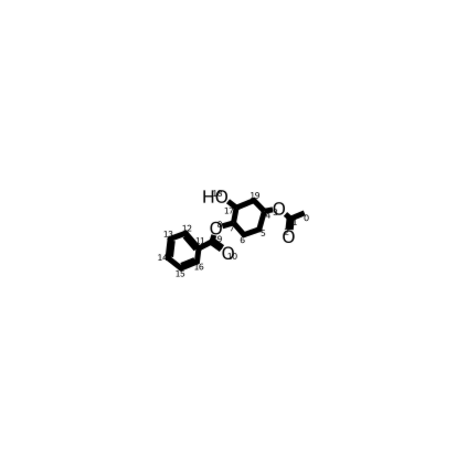 CC(=O)OC1CCC(OC(=O)c2ccccc2)C(O)C1